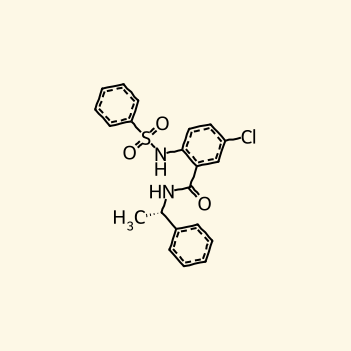 C[C@H](NC(=O)c1cc(Cl)ccc1NS(=O)(=O)c1ccccc1)c1ccccc1